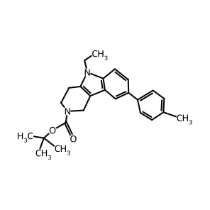 CCn1c2c(c3cc(-c4ccc(C)cc4)ccc31)CN(C(=O)OC(C)(C)C)CC2